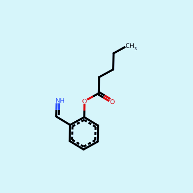 CCCCC(=O)Oc1ccccc1C=N